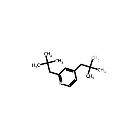 CC(C)(C)Cc1ccnc(CC(C)(C)C)c1